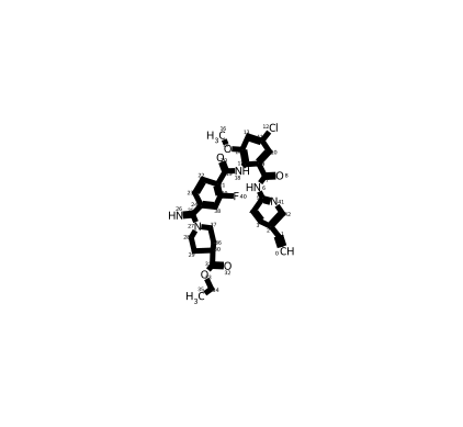 C#Cc1ccc(NC(=O)c2cc(Cl)cc(OC)c2NC(=O)c2ccc(C(=N)N3CCC(C(=O)OCC)CC3)cc2F)nc1